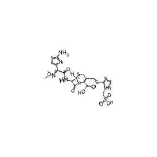 CON=C(C(=O)NC1C(=O)N2C(C(=O)O)=C(CSc3nnnn3CS(=O)(=O)O)CS[C@@H]12)c1csc(N)n1